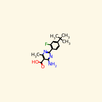 Cc1nc(-c2ccc(C(C)(C)C)cc2F)nc(N)c1C(=O)O